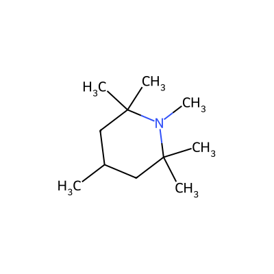 CC1CC(C)(C)N(C)C(C)(C)C1